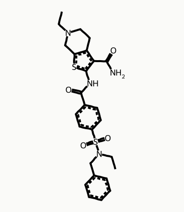 CCN1CCc2c(sc(NC(=O)c3ccc(S(=O)(=O)N(CC)Cc4ccccc4)cc3)c2C(N)=O)C1